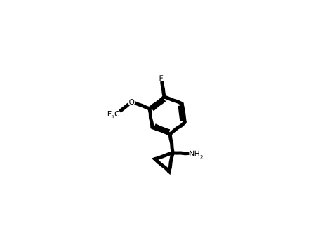 NC1(c2ccc(F)c(OC(F)(F)F)c2)CC1